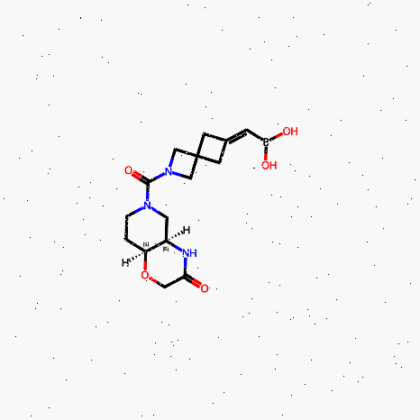 O=C1CO[C@H]2CCN(C(=O)N3CC4(CC(=CB(O)O)C4)C3)C[C@H]2N1